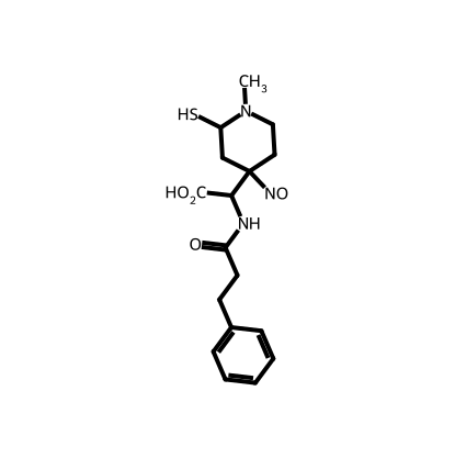 CN1CCC(N=O)(C(NC(=O)CCc2ccccc2)C(=O)O)CC1S